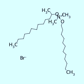 CCCCCCCCCCCCO[N+](C)(C)OC(C)CCCCCCCCCCC.[Br-]